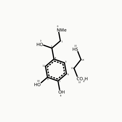 CNCC(O)c1ccc(O)c(O)c1.O=C(O)CCS